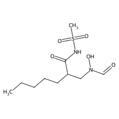 CCCCCC(CN(O)C=O)C(=O)NS(C)(=O)=O